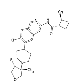 C[C@@]1(N2CCC(c3cc4cc(NC(=O)[C@H]5CC[C@@H]5C#N)ncc4cc3Cl)CC2)COC[C@@H]1F